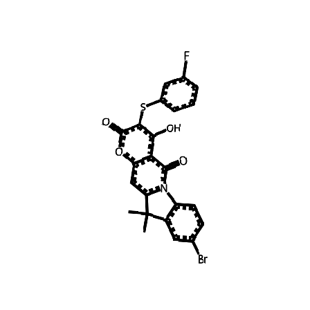 CC1(C)c2cc(Br)ccc2-n2c1cc1oc(=O)c(Sc3cccc(F)c3)c(O)c1c2=O